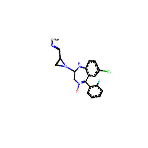 CO/N=C/C1CN1C1C[N+]([O-])=C(c2ccccc2F)c2cc(Cl)ccc2N1